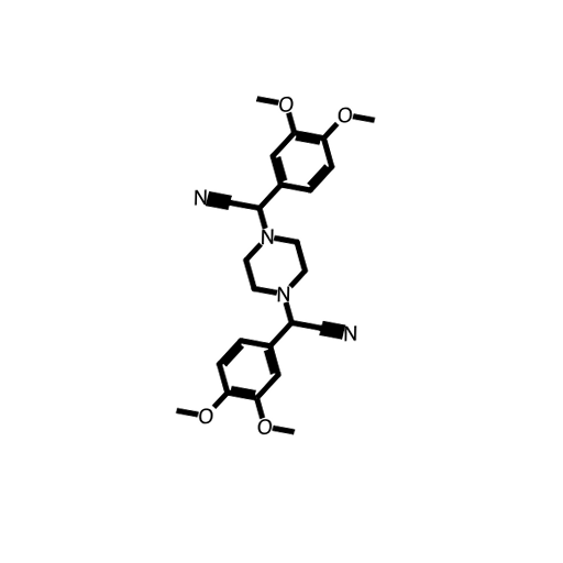 COc1ccc(C(C#N)N2CCN(C(C#N)c3ccc(OC)c(OC)c3)CC2)cc1OC